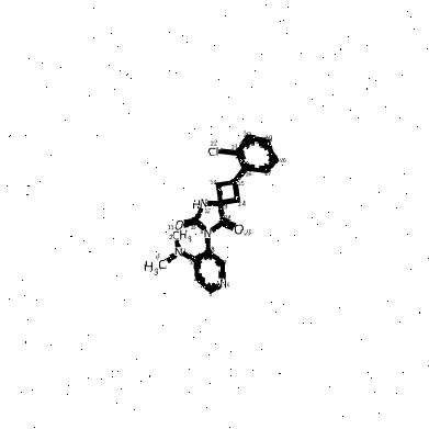 CN(C)c1ccncc1N1C(=O)NC2(CC(c3ccccc3Cl)C2)C1=O